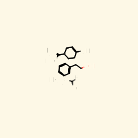 C=C(C)C1CC=C(C)CC1.CCC(CC)C(=O)O.OCCc1ccccc1